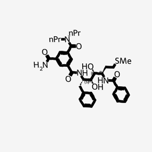 CCCN(CCC)C(=O)c1cc(C(N)=O)cc(C(=O)N[C@@H](Cc2ccccc2)[C@@H](O)[C@H](O)[C@@H](CCSC)NC(=O)c2ccccc2)c1